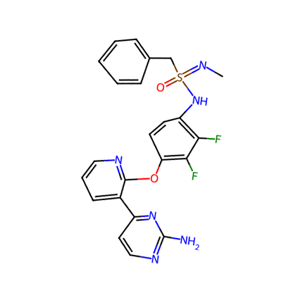 CN=S(=O)(Cc1ccccc1)Nc1ccc(Oc2ncccc2-c2ccnc(N)n2)c(F)c1F